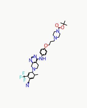 CC1C=C(C#N)C(C(F)(F)F)=CC1N1CCc2c(ncnc2Nc2ccc(OCCCN3CCN(C(=O)OC(C)(C)C)CC3)cc2)C1